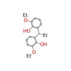 CCOc1cccc(C(CC)c2cccc(OCC)c2O)c1O